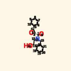 O=C([C@@H]1O[C@H]1c1ccccc1)N(CCO)Cc1ccccc1